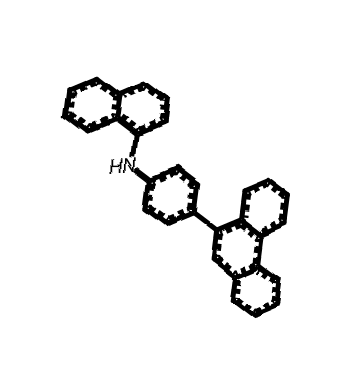 c1ccc2c(Nc3ccc(-c4cc5ccccc5c5ccccc45)cc3)cccc2c1